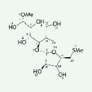 CO[C@@H](O)C(O)[C@@H](O)[C@H](O[C@@H]1O[C@@H](CSC)C(O)[C@H]1O)C(C)CO